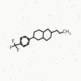 CCCC1CCC2CC(c3ccc(C(F)(F)F)cc3)CCC2C1